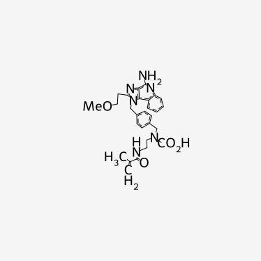 C=C(C)C(=O)NCCN(Cc1ccc(Cn2c(CCOC)nc3c(N)nc4ccccc4c32)cc1)C(=O)O